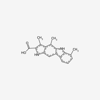 Cc1cccc2c1[nH]c1c(C)c3c(C)c(C(=O)O)[nH]c3cc12